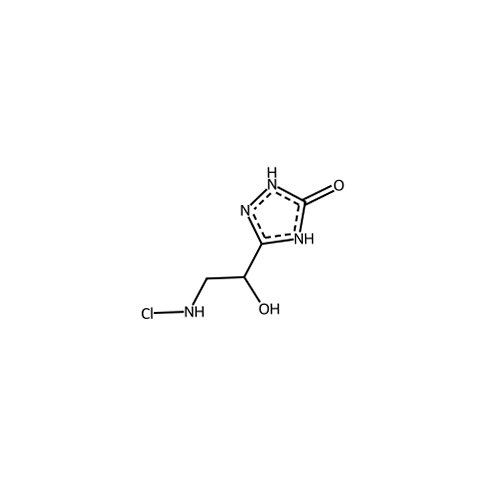 O=c1[nH]nc(C(O)CNCl)[nH]1